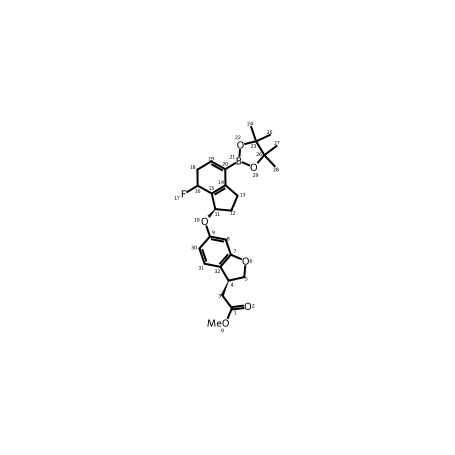 COC(=O)C[C@@H]1COc2cc(O[C@@H]3CCC4=C3C(F)CC=C4B3OC(C)(C)C(C)(C)O3)ccc21